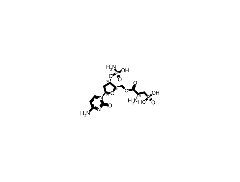 Nc1ccn([C@H]2C[C@H](OP(N)(=O)O)[C@@H](COC(=O)[C@@H](N)CP(=O)(O)O)O2)c(=O)n1